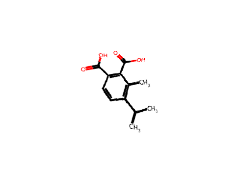 Cc1c(C(C)C)ccc(C(=O)O)c1C(=O)O